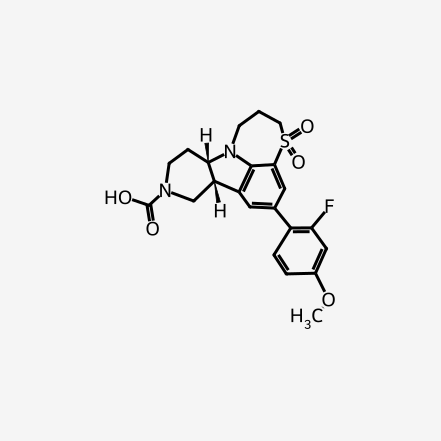 COc1ccc(-c2cc3c4c(c2)S(=O)(=O)CCCN4[C@H]2CCN(C(=O)O)C[C@@H]32)c(F)c1